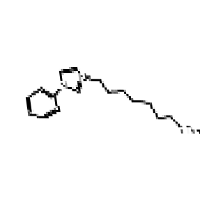 CCCCCCCCCCCCCCCCC[n+]1ccn(-c2ccccc2)c1